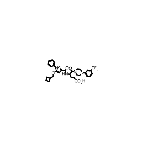 O=C(O)CCC(NC(=O)c1cc(OCC2CCC2)n(-c2ccccc2)n1)C(=O)N1CCN(c2cccc(C(F)(F)F)c2)CC1